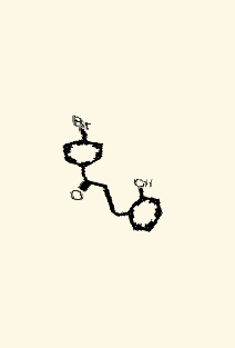 O=C(C=Cc1ccccc1O)c1ccc(Br)cc1